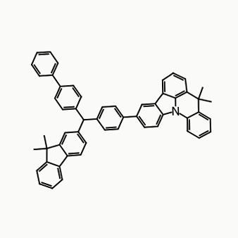 CC1(C)c2ccccc2-c2ccc(C(c3ccc(-c4ccccc4)cc3)c3ccc(-c4ccc5c(c4)c4cccc6c4n5-c4ccccc4C6(C)C)cc3)cc21